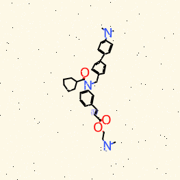 CN(C)CCOC(=O)/C=C/c1cccc(N(Cc2ccc(-c3ccc(N(C)C)cc3)cc2)C(=O)C2CCCCC2)c1